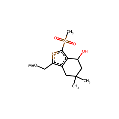 COCc1sc(S(C)(=O)=O)c2c1CC(C)(C)CC2O